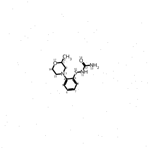 CC1CN(c2ccccc2SNC(N)=O)CCO1